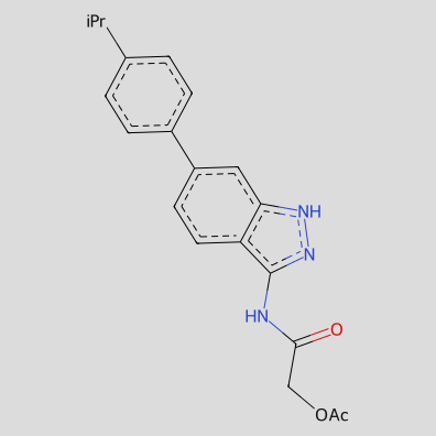 CC(=O)OCC(=O)Nc1n[nH]c2cc(-c3ccc(C(C)C)cc3)ccc12